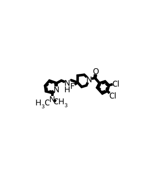 CN(C)c1cccc(CNCC2(F)CCN(C(=O)c3ccc(Cl)c(Cl)c3)CC2)n1